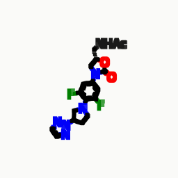 CC(=O)NC[C@H]1CN(c2cc(F)c(N3CCC(n4nccn4)C3)c(F)c2)C(=O)O1